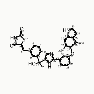 CC(O)(c1cccc(/C=C2\SC(=O)NC2=O)c1)c1cnc(-c2cccc(Oc3c(F)cc4[nH]ccc4c3F)c2)[nH]1